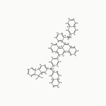 CC1(C)c2ccccc2-c2ccc(N(c3ccc(-c4cc5c6ccccc6cc(-c6ccccc6Nc6ccc7ccccc7c6)c5c5ccccc45)cc3)c3ccc4ccccc4c3)cc21